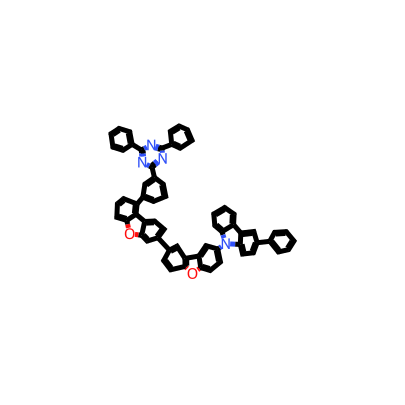 c1ccc(-c2ccc3c(c2)c2ccccc2n3-c2ccc3oc4ccc(-c5ccc6c(c5)oc5cccc(-c7cccc(-c8nc(-c9ccccc9)nc(-c9ccccc9)n8)c7)c56)cc4c3c2)cc1